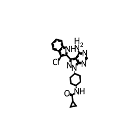 Nc1ncnc2c1c(-c1[nH]c3ccccc3c1Cl)nn2[C@H]1CC[C@H](NC(=O)C2CC2)CC1